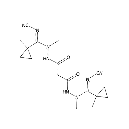 CN(NC(=O)CC(=O)NN(C)/C(=N/C#N)C1(C)CC1)/C(=N/C#N)C1(C)CC1